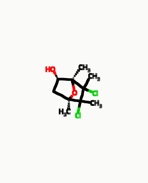 CC1(Cl)C(C)(Cl)[C@@]2(C)O[C@]1(C)C[C@@H]2O